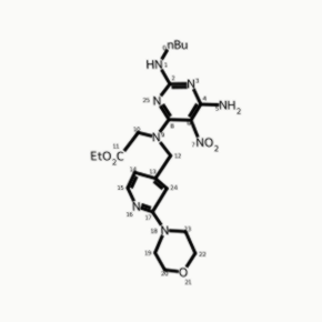 CCCCNc1nc(N)c([N+](=O)[O-])c(N(CC(=O)OCC)Cc2ccnc(N3CCOCC3)c2)n1